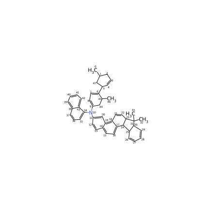 CC1CC=CC(C2=CC=C(N(c3ccc4ccc5c(c4c3)C=CC3C5C4C=CC=CC4C3(C)C)c3cccc4ccccc34)CC2C)C1